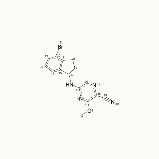 COc1nc(NC2CCc3c(Br)cccc32)cnc1C#N